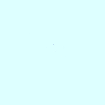 CCOc1ccc(-n2c([C@@H](C)N(CCS)C(=O)Cc3ccc(F)c(C)c3)nc3c(c2=O)CCC(C)(C)C3)cc1